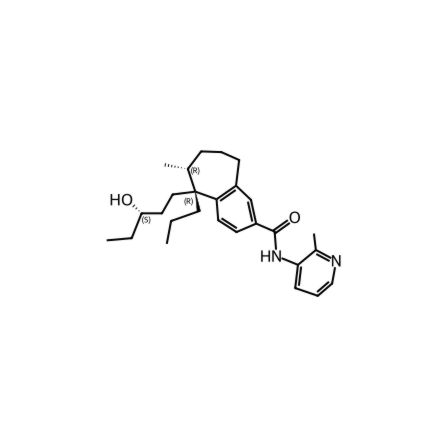 CCC[C@]1(CC[C@@H](O)CC)c2ccc(C(=O)Nc3cccnc3C)cc2CCC[C@H]1C